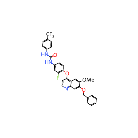 COc1cc2c(Oc3ccc(NC(=O)Nc4ccc(C(F)(F)F)cc4)cc3F)ccnc2cc1OCc1ccccc1